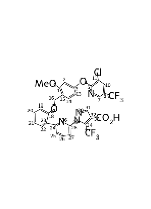 COc1cc(Oc2ncc(C(F)(F)F)cc2Cl)ccc1COc1ccccc1-c1cccc(-n2ncc(C(=O)O)c2C(F)(F)F)n1